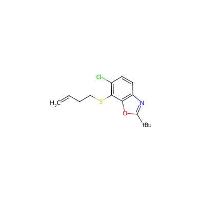 C=CCCSc1c(Cl)ccc2nc(C(C)(C)C)oc12